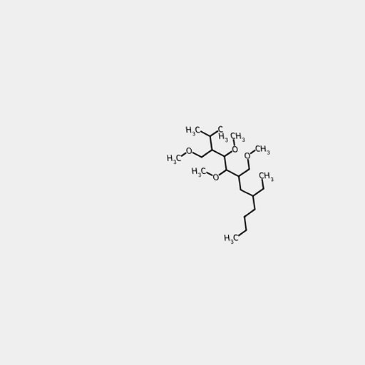 CCCCC(CC)CC(COC)C(OC)C(OC)C(COC)C(C)C